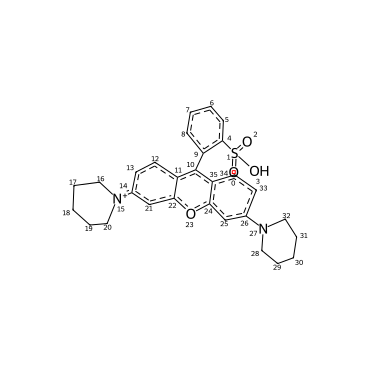 O=S(=O)(O)c1ccccc1-c1c2ccc(=[N+]3CCCCC3)cc-2oc2cc(N3CCCCC3)ccc12